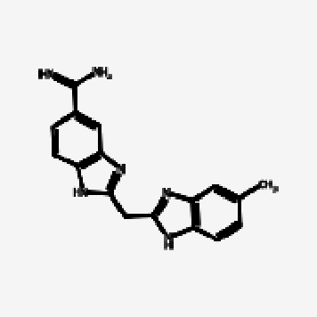 Cc1ccc2[nH]c(Cc3nc4cc(C(=N)N)ccc4[nH]3)nc2c1